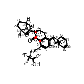 O=C(O)C(F)(F)F.O=C1Cc2cc(C(=O)N[C@@H]3C[C@H]4CC[C@@H](C3)N4S(=O)(=O)N3CCC(NCc4ccccc4)CC3)c(Cl)cc2N1